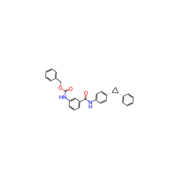 O=C(Nc1cccc(C(=O)Nc2ccc([C@@H]3C[C@@H]3c3ccccc3)cc2)c1)OCc1ccccc1